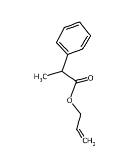 C=CCOC(=O)C(C)c1ccccc1